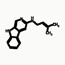 CC(C)=CCNc1cc2c(cn1)[nH]c1ccccc12